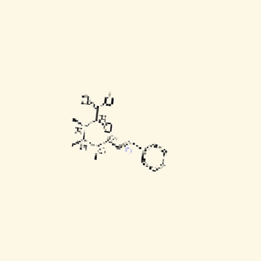 COC(=O)[C@H]1O[C@@H](/C=C/c2ccccc2)[C@@H](C)[C@@H](C)[C@H]1C